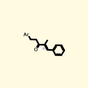 CC(=O)CCC(=O)/C(C)=C/c1ccccc1